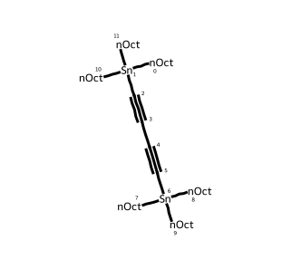 CCCCCCC[CH2][Sn]([C]#CC#[C][Sn]([CH2]CCCCCCC)([CH2]CCCCCCC)[CH2]CCCCCCC)([CH2]CCCCCCC)[CH2]CCCCCCC